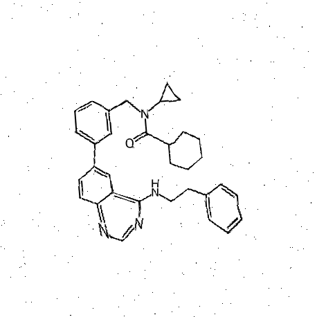 O=C(C1CCCCC1)N(Cc1cccc(-c2ccc3ncnc(NCCc4ccccc4)c3c2)c1)C1CC1